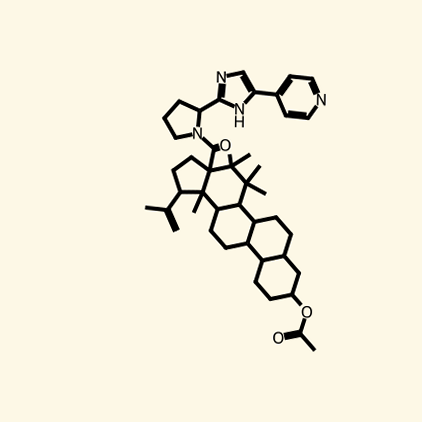 C=C(C)C1CCC2(C(=O)N3CCCC3c3ncc(-c4ccncc4)[nH]3)C1(C)C1CCC3C4CCC(OC(C)=O)CC4CCC3C1C(C)(C)C2(C)C